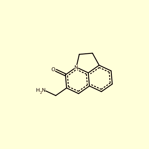 NCc1cc2cccc3c2n(c1=O)CC3